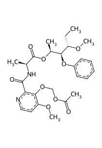 CC[C@H](OC)[C@@H](Oc1ccccc1)[C@H](C)OC(=O)[C@H](C)NC(=O)c1nccc(OC)c1OCOC(C)=O